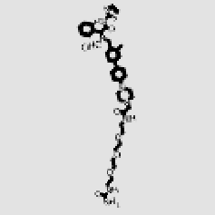 Cc1cc(-c2ccc(N3CCN(CC(=O)NCCOCCOCCOCCNC(N)=O)CC3)cc2)ccc1CN(C=O)C(C(=O)Nc1nccs1)c1ccccc1